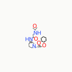 O=C(CNC1COC1)N[C@H]1CCCN(C[C@H]2COc3ccccc3O2)C1